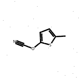 Cc1ccc(OC#N)s1